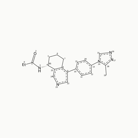 CCC(=O)N[C@@H]1CCCc2c(-c3ccc(-n4cnnc4C)cc3)cncc21